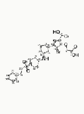 O=C(O)COc1c(C(=O)O)sc(-c2cccc(NC3CCN(S(=O)(=O)CCc4ccccc4)CC3)c2)c1Br